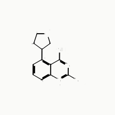 Nc1nc(N)c2c(C3CCOC3)cccc2n1